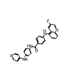 O=C(Nc1ccc(Nc2ccncc2)cc1)c1ccc(Nc2cccc3ncc(F)cc23)cc1